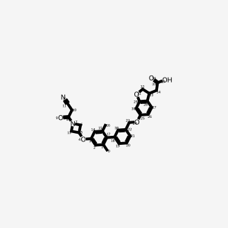 Cc1cc(OC2CN(C(=O)CC#N)C2)cc(C)c1-c1cccc(COc2ccc3c(c2)OCC3CC(=O)O)c1